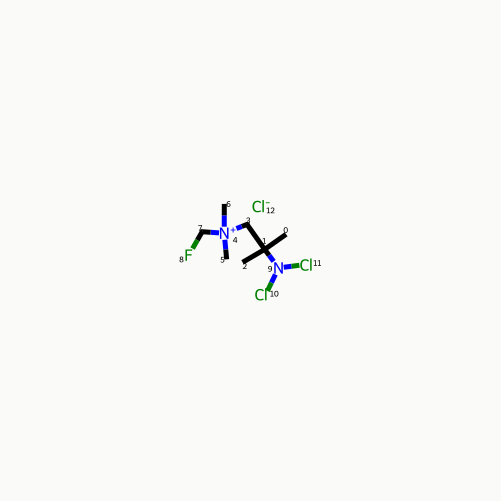 CC(C)(C[N+](C)(C)CF)N(Cl)Cl.[Cl-]